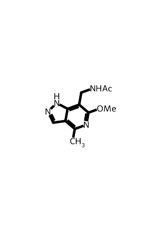 COc1nc(C)c2cn[nH]c2c1CNC(C)=O